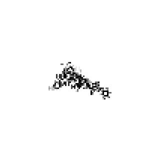 C=C(C)[C@@H]1CC[C@]2(NCCC3(O)CCNCC3)CC[C@]3(C)[C@H](CC[C@@H]4[C@@]5(C)CC=C(C6=CC[C@](CF)(C(=O)OCc7ccccc7)CC6)C(C)(C)[C@@H]5CC[C@]43C)[C@@H]12